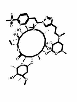 CC[C@H]1OC(=O)[C@H](C)[C@@H](O[C@H]2C[C@@](C)(OC)[C@@H](O)[C@H](C)O2)[C@H](C)[C@@H](O[C@@H]2O[C@H](C)C[C@H](N(C)CCc3cn([C@H](CF)Cc4ccc(S(C)(=O)=O)nc4)nn3)[C@H]2O)[C@](C)(O)C[C@@H](C)CN(C)[C@H](C)[C@@H](O)[C@]1(C)O